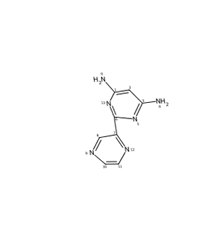 Nc1cc(N)nc(-c2cnccn2)n1